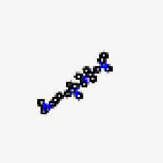 c1ccc(N(c2ccc(-c3c4ccccc4c(-n4c5ccccc5c5c(-c6cc(N(c7ccccc7)c7ccc(-c8ccc9cc%10cc(-n%11c%12ccccc%12c%12ccccc%12%11)ccc%10cc9c8)cc7)c7ccccc7c6)cccc54)c4ccccc34)cc2)c2ccc3ccccc3c2)cc1